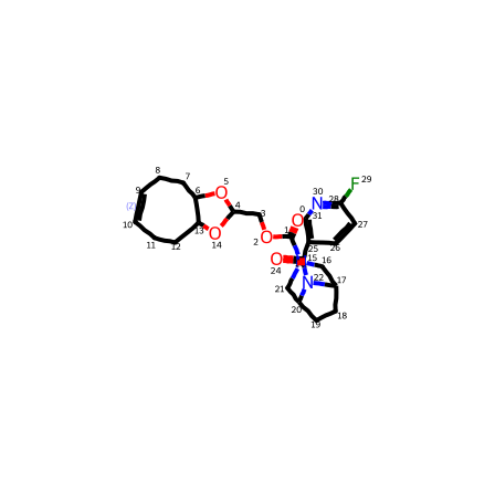 O=C(OCC1OC2CC/C=C\CCC2O1)N1CC2CCC(C1)N2C(=O)c1ccc(F)nc1